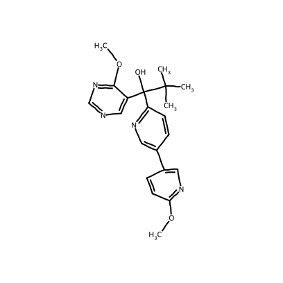 COc1ccc(-c2ccc(C(O)(c3cncnc3OC)C(C)(C)C)nc2)cn1